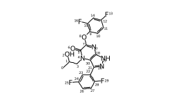 CC(O)Cn1c(=O)c(Oc2ccc(F)cc2F)nc2[nH]nc(-c3cc(F)ccc3F)c21